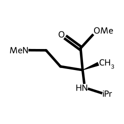 CNCC[C@@](C)(NC(C)C)C(=O)OC